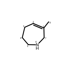 CC1=CCCCNC1